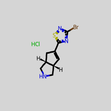 Brc1nsc(C2=C[C@@H]3CNC[C@@H]3C2)n1.Cl